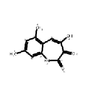 Cc1cc(C)c2cc(O)c(=O)c(=O)[nH]c2c1